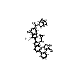 Cc1c(-c2cc3ccc(-c4ccccc4N4CCNC4=O)nc3n2CC2CC2)nn2cc(C(=O)N3CC4CC5CC3[C@H]54)cc(F)c12